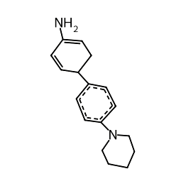 NC1=CCC(c2ccc(N3CCCCC3)cc2)C=C1